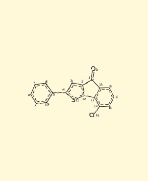 O=C1c2cc(-c3ccccc3)sc2-c2c(Cl)cccc21